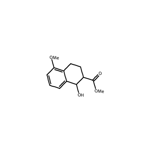 COC(=O)C1CCc2c(OC)cccc2C1O